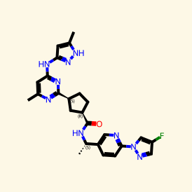 Cc1cc(Nc2cc(C)[nH]n2)nc([C@H]2CC[C@@H](C(=O)N[C@@H](C)c3ccc(-n4cc(F)cn4)nc3)C2)n1